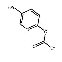 CCCc1ccc(OC(=O)CC)nc1